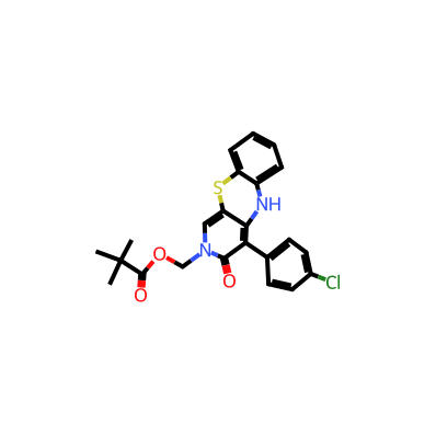 CC(C)(C)C(=O)OCn1cc2c(c(-c3ccc(Cl)cc3)c1=O)Nc1ccccc1S2